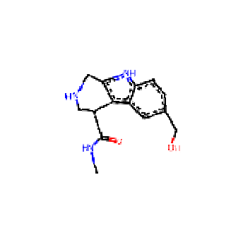 CNC(=O)C1CNCc2[nH]c3ccc(CO)cc3c21